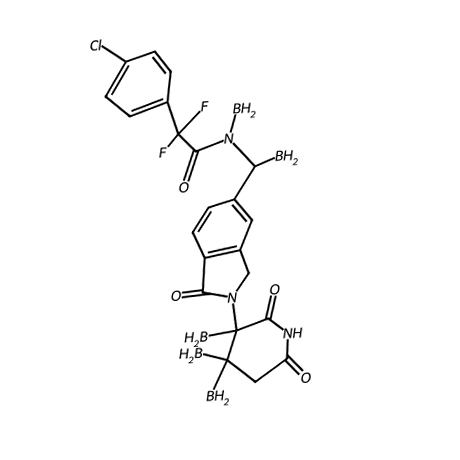 BC(c1ccc2c(c1)CN(C1(B)C(=O)NC(=O)CC1(B)B)C2=O)N(B)C(=O)C(F)(F)c1ccc(Cl)cc1